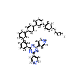 C=CCc1ccc(-c2cccc(-c3ccc(-c4cccc(-c5cccc(-c6nc(-c7ccncc7)nc(-c7ccncc7)n6)c5)c4)cc3)c2)cc1